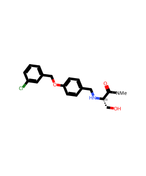 CNC(=O)[C@H](CO)NCc1ccc(OCc2cccc(Cl)c2)cc1